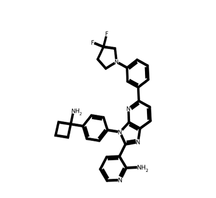 Nc1ncccc1-c1nc2ccc(-c3cccc(N4CCC(F)(F)C4)c3)nc2n1-c1ccc(C2(N)CCC2)cc1